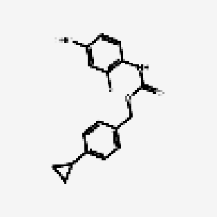 O=Cc1ccc(NC(=O)OCc2ccc(C3CC3)cc2)c(F)c1